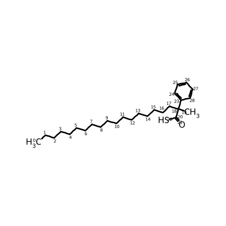 CCCCCCCCCCCCCCCCCCC(C)(C(=O)S)c1ccccc1